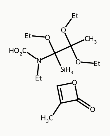 CC1=COC1=O.CCOC(C)(OCC)C([SiH3])(OCC)N(CC)C(=O)O